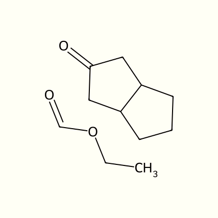 CCOC=O.O=C1CC2CCCC2C1